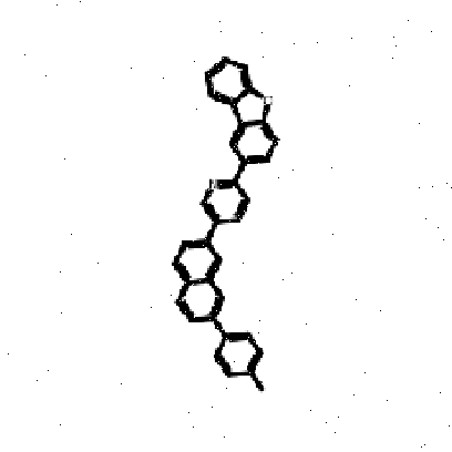 Cc1ccc(-c2ccc3ccc(-c4ccc(-c5ccc6oc7ccccc7c6c5)nc4)cc3c2)cc1